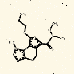 CCCSc1sc(C(=O)N(C)OC)c2c1-c1c(cnn1C)CC2